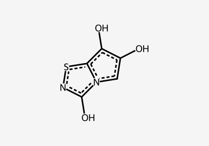 Oc1cn2c(O)nsc2c1O